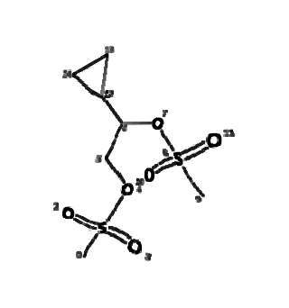 CS(=O)(=O)OCC(OS(C)(=O)=O)C1CC1